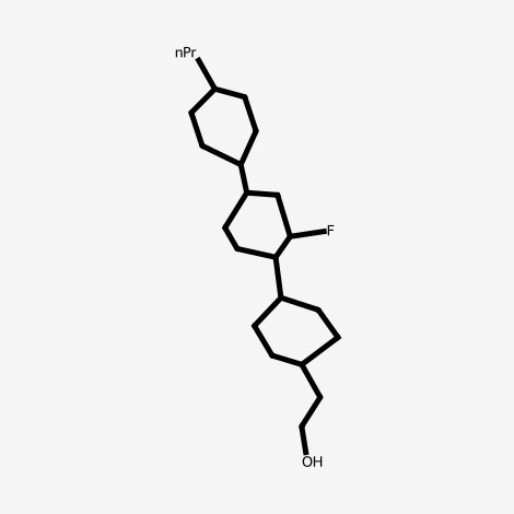 CCCC1CCC(C2CCC(C3CCC(CCO)CC3)C(F)C2)CC1